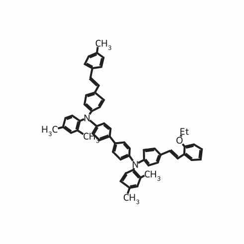 CCOc1ccccc1/C=C/c1ccc(N(c2ccc(-c3ccc(N(c4ccc(/C=C/c5ccc(C)cc5)cc4)c4ccc(C)cc4C)cc3)cc2)c2ccc(C)cc2C)cc1